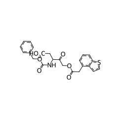 O=C(O)CC(NC(=O)OCc1ccccc1)C(=O)COC(=O)Cc1cccc2sccc12